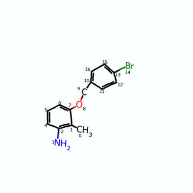 Cc1c(N)cccc1OCc1ccc(Br)cc1